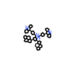 c1cc2c3c(c1)ccc1ccc(-c4cc(-c5ccc6ccc7cccc8ccc5c6c78)cc5c(-c6ccc(-c7c8ccccc8nc8ccccc78)cc6)nc(-c6ccc(-c7c8ccccc8nc8ccccc78)cc6)nc45)c(c13)CC2